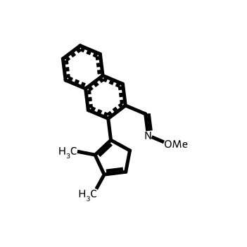 CON=Cc1cc2ccccc2cc1C1=C(C)C(C)=CC1